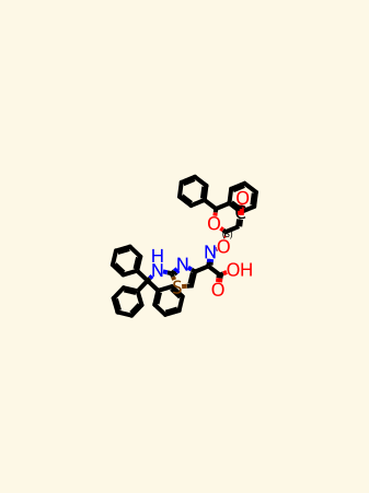 O=C=C[C@H](ON=C(C(=O)O)c1csc(NC(c2ccccc2)(c2ccccc2)c2ccccc2)n1)OC(c1ccccc1)c1ccccc1